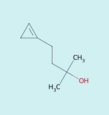 CC(C)(O)CCC1=CC1